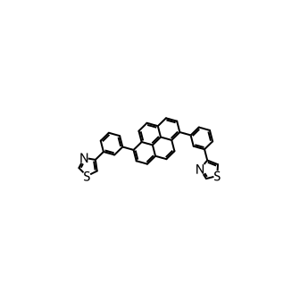 c1cc(-c2cscn2)cc(-c2ccc3ccc4c(-c5cccc(-c6cscn6)c5)ccc5ccc2c3c54)c1